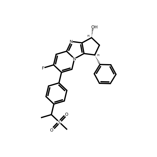 CC(c1ccc(-c2cn3c4c(nc3cc2F)[C@H](O)C[C@@H]4c2ccccc2)cc1)S(C)(=O)=O